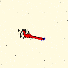 Cc1c(C)c2c(c(C)c1OC(=O)CCC(=O)OCCOCCOCCOCCOCCOCCOCCOCCN=[N+]=[N-])CC[C@@](C)(CCC[C@H](C)CCC[C@H](C)CCCC(C)C)O2